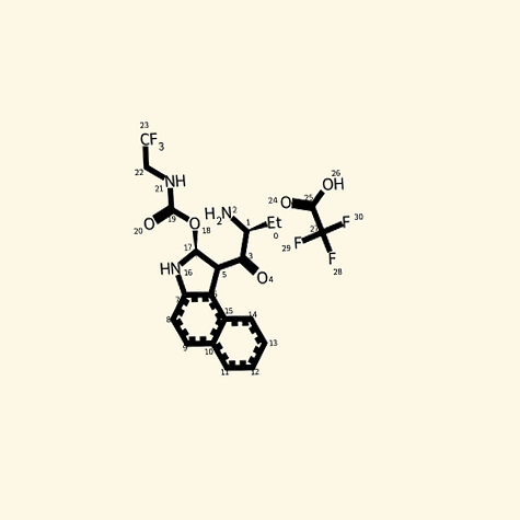 CC[C@H](N)C(=O)C1c2c(ccc3ccccc23)N[C@H]1OC(=O)NCC(F)(F)F.O=C(O)C(F)(F)F